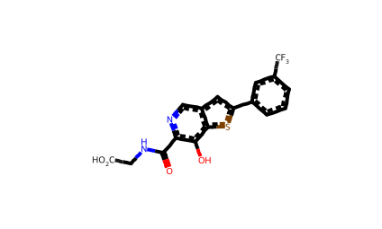 O=C(O)CNC(=O)c1ncc2cc(-c3cccc(C(F)(F)F)c3)sc2c1O